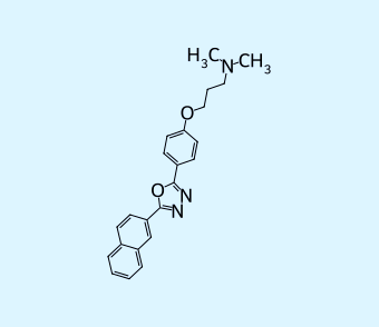 CN(C)CCCOc1ccc(-c2nnc(-c3ccc4ccccc4c3)o2)cc1